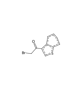 O=C(CBr)c1csc2ccccc12